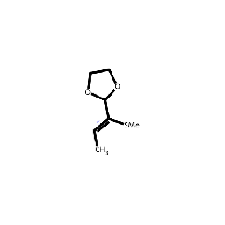 C/C=C(\SC)C1OCCO1